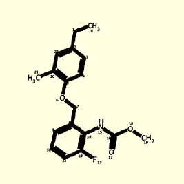 CCc1ccc(OCc2cccc(F)c2NC(=O)OC)c(C)c1